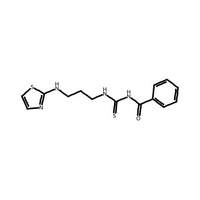 O=C(NC(=S)NCCCNc1nccs1)c1ccccc1